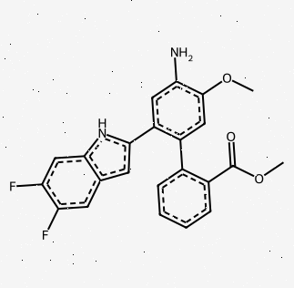 COC(=O)c1ccccc1-c1cc(OC)c(N)cc1-c1cc2cc(F)c(F)cc2[nH]1